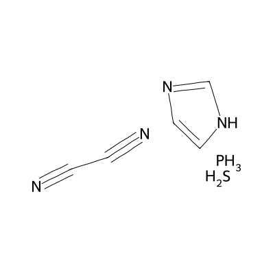 N#CC#N.P.S.c1c[nH]cn1